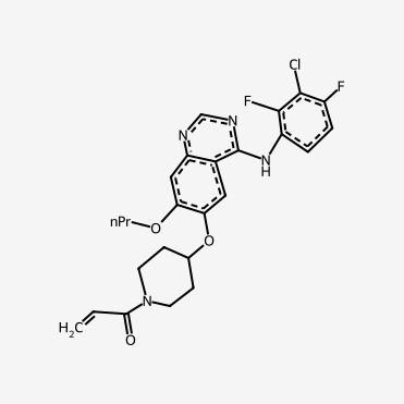 C=CC(=O)N1CCC(Oc2cc3c(Nc4ccc(F)c(Cl)c4F)ncnc3cc2OCCC)CC1